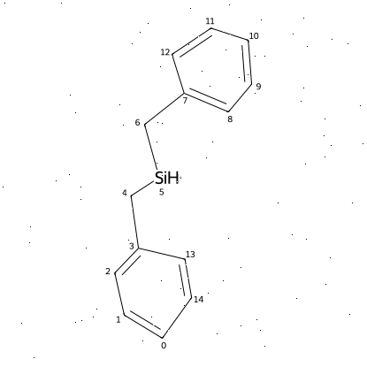 c1ccc(C[SiH]Cc2ccccc2)cc1